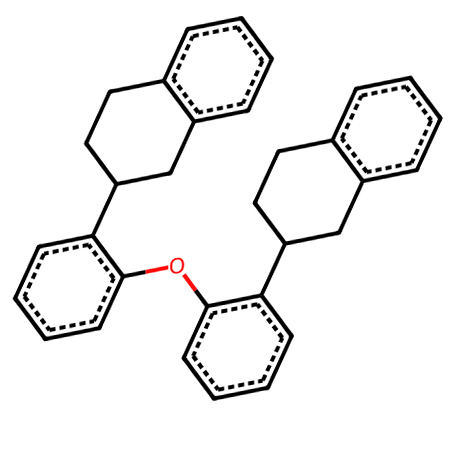 c1ccc2c(c1)CCC(c1ccccc1Oc1ccccc1C1CCc3ccccc3C1)C2